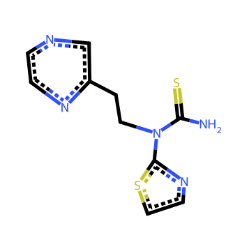 NC(=S)N(CCc1cnccn1)c1nccs1